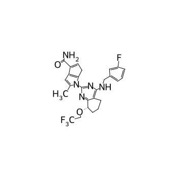 Cc1cc2c(n1-c1nc(NCc3cccc(F)c3)c3c(n1)[C@@H](OCC(F)(F)F)CCC3)CC=C2C(N)=O